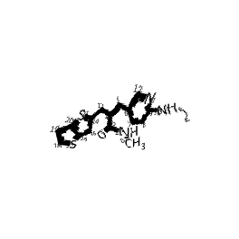 CNC(=O)C(=Cc1ccc(N)nc1)Cc1cc2sccc2s1